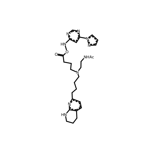 CC(=O)NCCN(CCCCc1ccc2c(n1)NCCC2)CCCC(=O)ONc1cc(-n2cccn2)ncn1